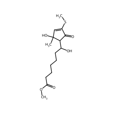 COC(=O)CCCCCC(O)C1C(=O)C(SC)=CC1(C)O